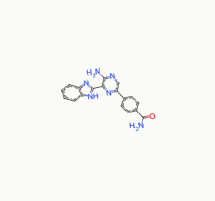 NC(=O)c1ccc(-c2cnc(N)c(-c3nc4ccccc4[nH]3)n2)cc1